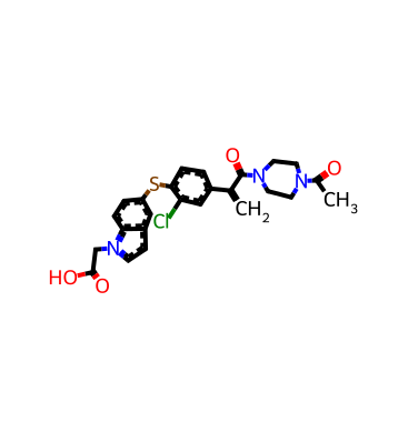 C=C(C(=O)N1CCN(C(C)=O)CC1)c1ccc(Sc2ccc3c(ccn3CC(=O)O)c2)c(Cl)c1